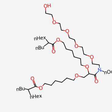 CCCCCCCCN(CCOCCOCCOCCOCCO)C(=O)C(COCCCCCCOC(=O)C(CCCC)CCCCCC)OCCCCCCOC(=O)C(CCCC)CCCCCC